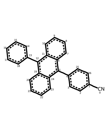 N#Cc1ccc(-c2c3ccccc3c(-c3ccccc3)c3ccccc23)cc1